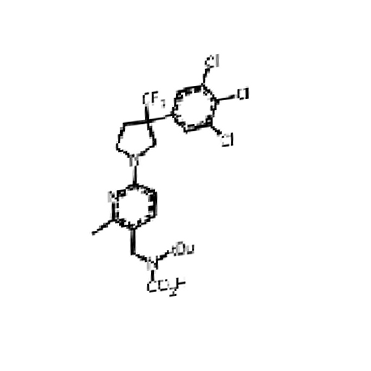 Cc1nc(N2CCC(c3cc(Cl)c(Cl)c(Cl)c3)(C(F)(F)F)C2)ccc1CN(C(=O)O)C(C)(C)C